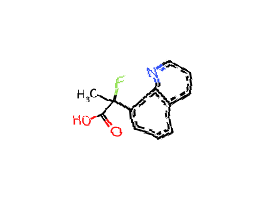 CC(F)(C(=O)O)c1cccc2cccnc12